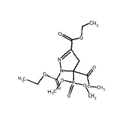 CCOC(=O)C1=NN(C(=O)OCC)C(C(=O)OC)(P(=O)(OC)OC)C1